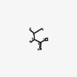 CC(C)C(C)C(=S)Cl